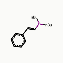 CCCCP(C=Cc1ccccc1)CCCC